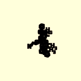 CC[C@H]1O[C@@H](n2cc(C)c(NC(=O)c3ccccc3)nc2=O)C(OCOCCC#N)[C@H]1O[P@]1O[C@@](C)(c2ccccc2)[C@H]2CCCN21